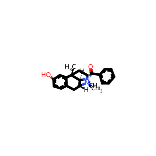 CN1CC[C@@]2(C)c3cc(O)ccc3C[C@@H]1[C@@H]2N(C)C(=O)c1ccccc1